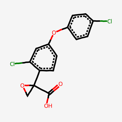 O=C(O)C1(c2ccc(Oc3ccc(Cl)cc3)cc2Cl)CO1